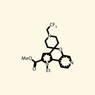 CCn1c(C(=O)OC)cc2c1-c1ccncc1OC21CCN(CC(F)(F)F)CC1